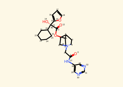 O=C(C[N+]12CCC(CC1)C(OC(=O)[C@](O)(c1ccco1)C1CCCCC1)C2)Nc1cncnc1